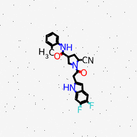 Cc1ccccc1NC(=O)C1CC(C#N)N(C(=O)Cc2cc3cc(F)c(F)cc3[nH]2)C1